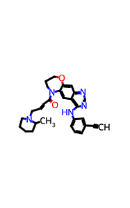 C#Cc1cccc(Nc2ncnc3cc4c(cc23)N(C(=O)/C=C/CN2CCCCC2C)CCCO4)c1